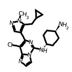 Cn1ncc(-c2nc(N[C@H]3CC[C@H](N)CC3)n3ccnc3c2Cl)c1CC1CC1